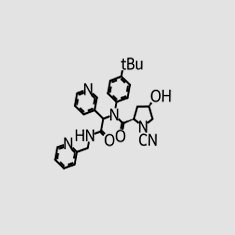 CC(C)(C)c1ccc(N(C(=O)[C@H]2C[C@@H](O)CN2C#N)C(C(=O)NCc2ccccn2)c2cccnc2)cc1